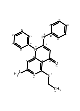 CCSc1nc(C)cc2c1c(=O)cc(Nc1ccccc1)n2-c1ccccc1